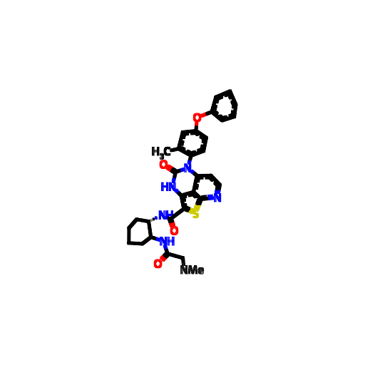 CNCC(=O)NC1CCCC[C@@H]1NC(=O)c1sc2nccc3c2c1NC(=O)N3c1ccc(Oc2ccccc2)cc1C